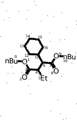 CCCCOC(=O)C(CC)C(C(=O)OCCCC)C1CCCCC1